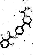 CC1=C(c2ccc(NC(=O)c3c(F)cccc3F)cc2)CN(C(N)=S)CC1